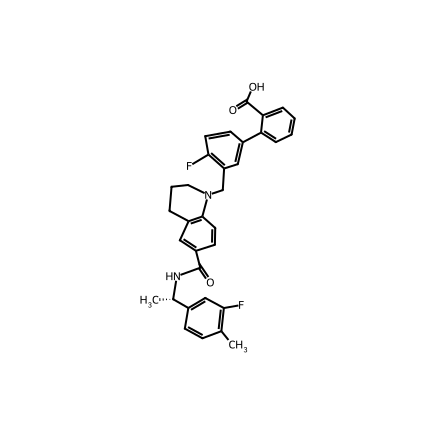 Cc1ccc([C@H](C)NC(=O)c2ccc3c(c2)CCCN3Cc2cc(-c3ccccc3C(=O)O)ccc2F)cc1F